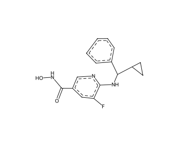 O=C(NO)c1cnc(NC(c2ccccc2)C2CC2)c(F)c1